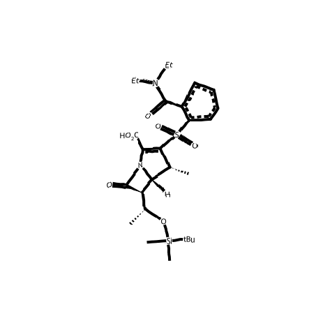 CCN(CC)C(=O)c1ccccc1S(=O)(=O)C1=C(C(=O)O)N2C(=O)[C@H]([C@@H](C)O[Si](C)(C)C(C)(C)C)[C@H]2[C@H]1C